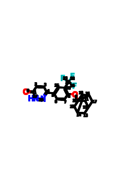 O=c1ccc(-c2ccc(OC34CC5CC(CC(C5)C3)C4)c(C(F)(F)F)c2)n[nH]1